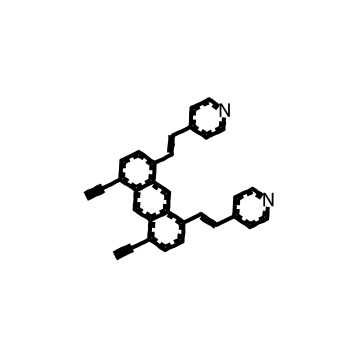 C#Cc1ccc(C=Cc2ccncc2)c2cc3c(C=Cc4ccncc4)ccc(C#C)c3cc12